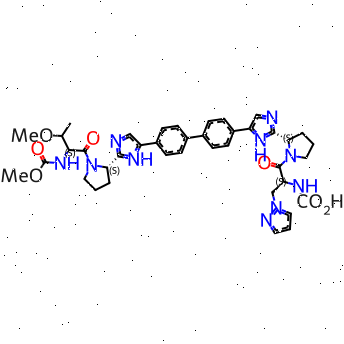 COC(=O)N[C@H](C(=O)N1CCC[C@H]1c1ncc(-c2ccc(-c3ccc(-c4cnc([C@@H]5CCCN5C(=O)[C@H](Cn5cccn5)NC(=O)O)[nH]4)cc3)cc2)[nH]1)C(C)OC